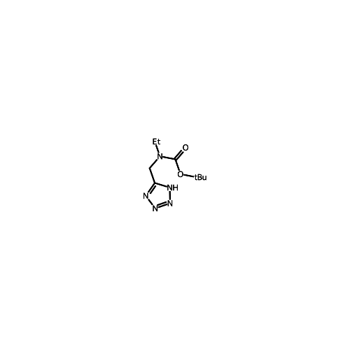 CCN(Cc1nnn[nH]1)C(=O)OC(C)(C)C